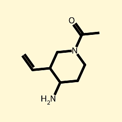 C=CC1CN(C(C)=O)CCC1N